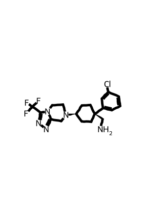 NC[C@]1(c2cccc(Cl)c2)CC[C@H](N2CCn3c(nnc3C(F)(F)F)C2)CC1